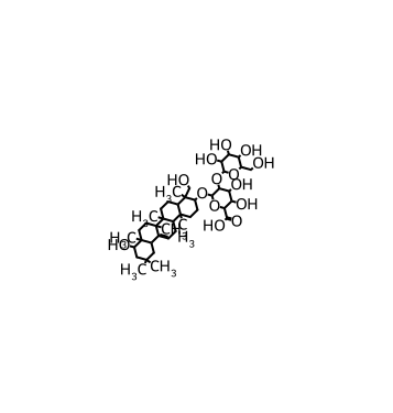 CC1(C)CC(O)C2(C)CCC3(C)C(=CCC4C5(C)CCC(OC6OC(C(=O)O)C(O)C(O)C6OC6OC(CO)C(O)C(O)C6O)C(C)(CO)C5CCC43C)C2C1